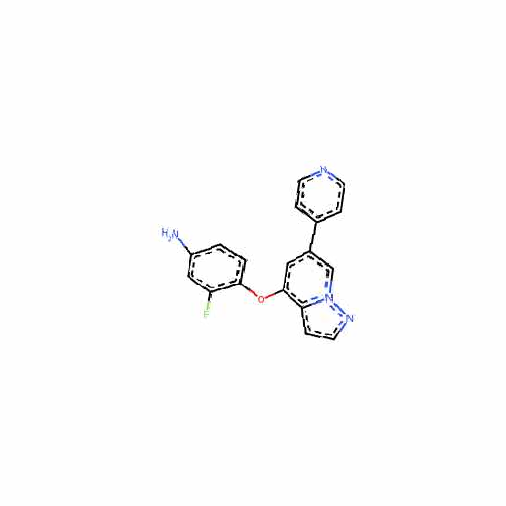 Nc1ccc(Oc2cc(-c3ccncc3)cn3nccc23)c(F)c1